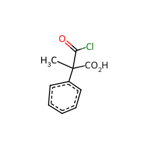 CC(C(=O)O)(C(=O)Cl)c1ccccc1